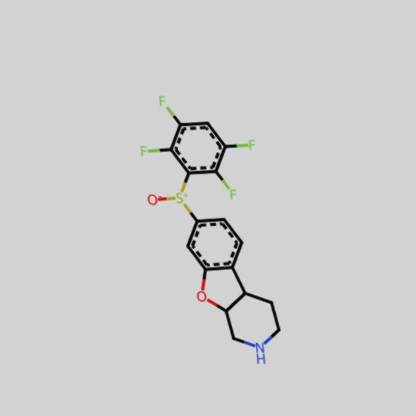 [O-][S+](c1ccc2c(c1)OC1CNCCC21)c1c(F)c(F)cc(F)c1F